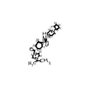 CC(C)N1CCN(C(=O)[C@H]2CC[C@@H](NC(=O)N3CCN(c4ccccc4)CC3)CC2)CC1